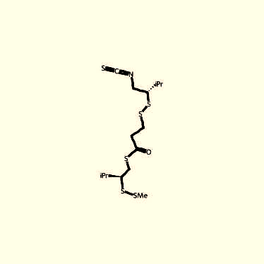 CSS[C@H](CSC(=O)CCSS[C@H](CN=C=S)C(C)C)C(C)C